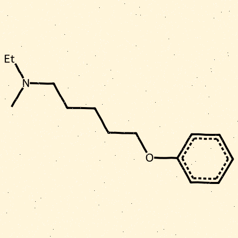 CCN(C)CCCCCOc1ccccc1